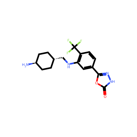 N[C@H]1CC[C@H](CNc2cc(-c3n[nH]c(=O)o3)ccc2C(F)(F)F)CC1